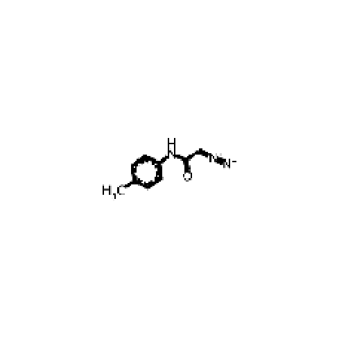 Cc1ccc(NC(=O)C=[N+]=[N-])cc1